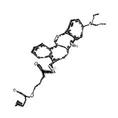 C=CC(=O)OCCC(=O)/N=c1/cc2[nH]c3cc(N(CC)CC)ccc3nc-2c2ccccc12